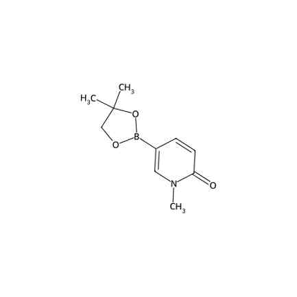 Cn1cc(B2OCC(C)(C)O2)ccc1=O